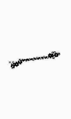 Cn1c2ccncc2c2ccc(-c3ccc(OCCOCCOCCOCCOCCOCCOCCOc4ccc5c(c4)C(=O)N(C4CCC(=O)NC4=O)C5=O)nc3)cc21